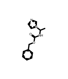 CC(NC(=O)OCc1ccccc1)n1ccnc1